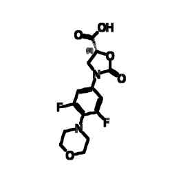 O=C(O)[C@H]1CN(c2cc(F)c(N3CCOCC3)c(F)c2)C(=O)O1